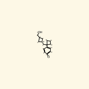 OCC1CN(CC2(c3ccc(Cl)cc3)CCC2)C1